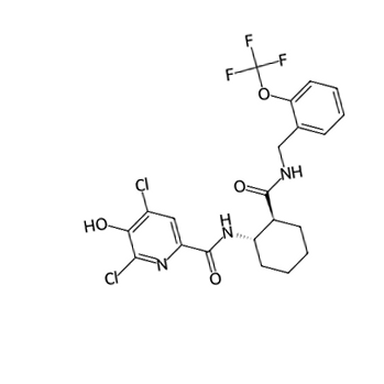 O=C(N[C@H]1CCCC[C@@H]1C(=O)NCc1ccccc1OC(F)(F)F)c1cc(Cl)c(O)c(Cl)n1